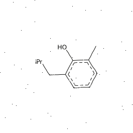 Cc1cccc(CC(C)C)c1O